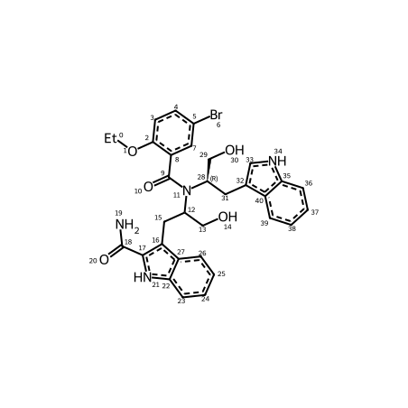 CCOc1ccc(Br)cc1C(=O)N(C(CO)Cc1c(C(N)=O)[nH]c2ccccc12)[C@@H](CO)Cc1c[nH]c2ccccc12